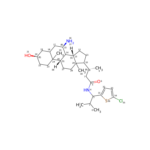 CC(C)C(NC(=O)C[C@@H](C)C1CC[C@H]2C3[C@H](N)CC4C[C@H](O)CCC4(C)[C@H]3CCC12C)c1ccc(Cl)s1